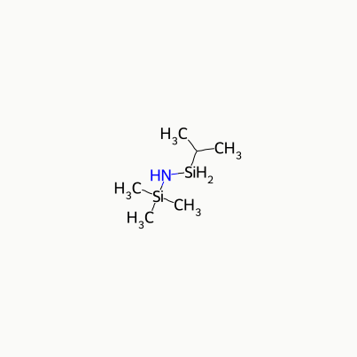 CC(C)[SiH2]N[Si](C)(C)C